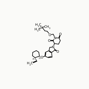 C=C[C@H]1CCCC[C@@H]1Oc1ccc2c(c1)CN(C1CCC(=O)N(COCC[Si](C)(C)C)C1=O)C2=O